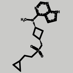 CN(c1ncnc2[nH]ccc12)[C@H]1C[C@@H](CS(=O)(=O)CCC2CC2)C1